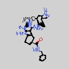 COc1cc2[nH]ncc2cc1Nc1ncnc2[nH]c3c(c12)C[C@@H](C(=O)NCc1ccccc1)CC3